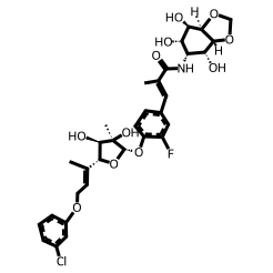 CC(=Cc1ccc(O[C@@H]2O[C@H](C(C)=CCOc3cccc(Cl)c3)[C@@H](O)[C@@]2(C)O)c(F)c1)C(=O)N[C@@H]1[C@H](O)[C@@H](O)[C@H]2OCO[C@H]2[C@@H]1O